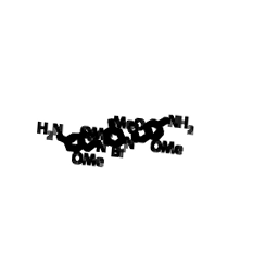 COc1cc(CN)cc(OC)c1CC(=O)N=C1C=C(C)CC(=NC(=O)Cc2c(OC)cc(CN)cc2OC)C1Br